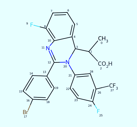 CC(C(=O)O)C1c2cccc(F)c2N=C(c2ccc(Br)cc2)N1c1ccc(F)c(C(F)(F)F)c1